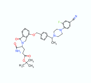 CC(c1ccc(COc2cccc3c2CN(C(CCC(=O)OC(C)(C)C)C(N)=O)C3=O)cc1)N1CCN(c2ccc(C#N)cc2F)CC1